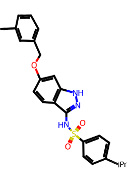 Cc1cccc(COc2ccc3c(NS(=O)(=O)c4ccc(C(C)C)cc4)n[nH]c3c2)c1